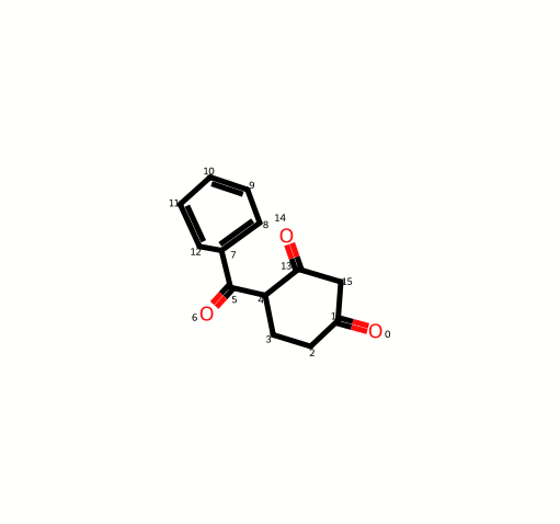 O=C1CCC(C(=O)c2ccccc2)C(=O)C1